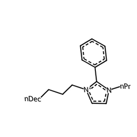 CCCCCCCCCCCCC[n+]1ccn(CCC)c1-c1ccccc1